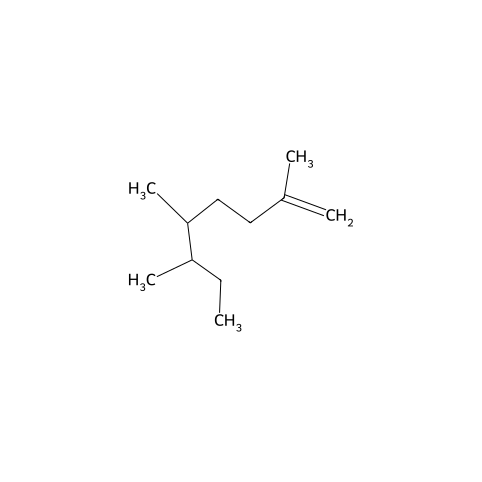 C=C(C)CCC(C)C(C)CC